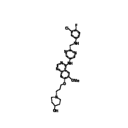 COc1cc2c(Nc3cnc(CNc4ccc(F)c(Cl)c4)nc3)ncnc2cc1OCCCN1CCC(O)CC1